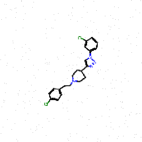 Clc1ccc(CCN2CCC(c3cn(-c4cccc(Cl)c4)nn3)CC2)cc1